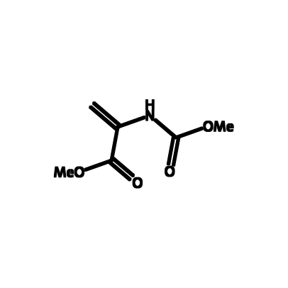 C=C(NC(=O)OC)C(=O)OC